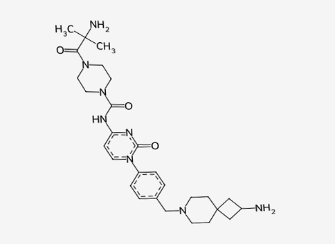 CC(C)(N)C(=O)N1CCN(C(=O)Nc2ccn(-c3ccc(CN4CCC5(CC4)CC(N)C5)cc3)c(=O)n2)CC1